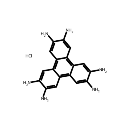 Cl.Nc1cc2c3cc(N)c(N)cc3c3cc(N)c(N)cc3c2cc1N